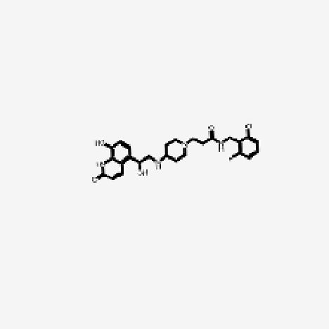 O=C(CCN1CCC(NCC(O)c2ccc(O)c3[nH]c(=O)ccc23)CC1)NCc1c(F)cccc1Cl